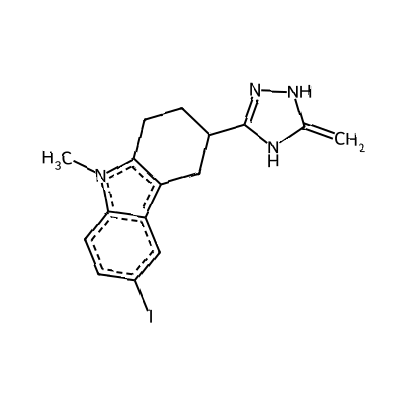 C=C1NN=C(C2CCc3c(c4cc(I)ccc4n3C)C2)N1